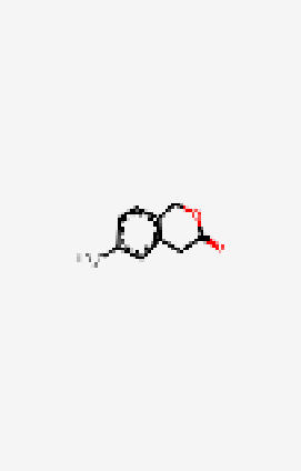 O=C1Cc2cc(C(=O)O)ccc2CO1